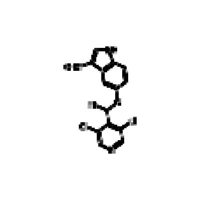 CCC(Oc1ccc2[nH]cc(C=O)c2c1)c1c(Cl)cncc1Cl